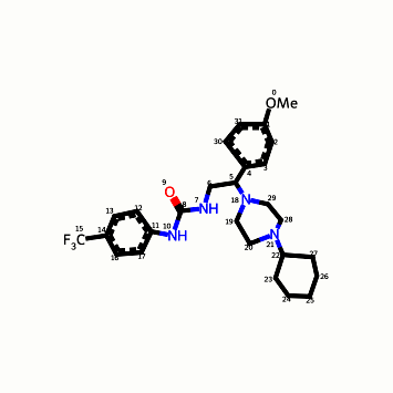 COc1ccc(C(CNC(=O)Nc2ccc(C(F)(F)F)cc2)N2CCN(C3CCCCC3)CC2)cc1